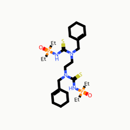 CCP(=O)(CC)NC(=S)N(CCN(CC1=CCCCC1)C(=S)NP(=O)(CC)CC)CC1=CCCCC1